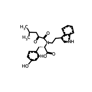 CC(C)CC(=O)C(=O)N(CCc1c[nH]c2ccccc12)[C@@H](Cc1ccc(O)cc1)C(=O)O